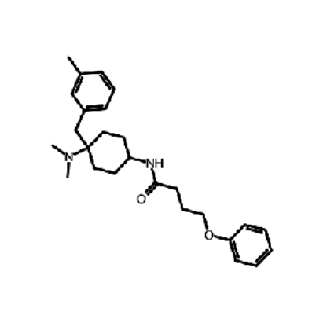 Cc1cccc(CC2(N(C)C)CCC(NC(=O)CCCOc3ccccc3)CC2)c1